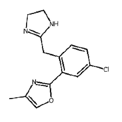 Cc1coc(-c2cc(Cl)ccc2CC2=NCCN2)n1